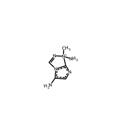 C[N+]1(N)N=Cn2c(N)cnc21